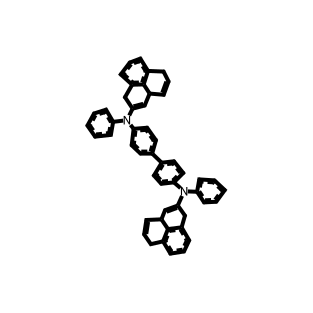 C1=CC2C=C(N(c3ccccc3)c3ccc(-c4ccc(N(C5=CC6C=CCc7cccc(c76)C5)c5ccccc5)cc4)cc3)Cc3cccc(c32)C1